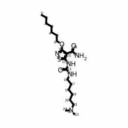 CCCCCCCOc1nsc(NC(=O)NCCCCCCN(C)C)c1C(N)=O